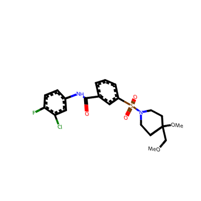 COCC1(OC)CCN(S(=O)(=O)c2cccc(C(=O)Nc3ccc(F)c(Cl)c3)c2)CC1